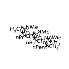 CCCCCN(C)C1=NC(CCN2C(NC)=NC(CCN3C(NC)=NC(C)N=C3N(C)CCC)N=C2N(C)CCCC)N=C(NC)N1C